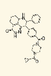 O=C(c1ccc(C2c3n[nH]c(=O)c4c3C(CCC4)NC2c2ccccc2)cc1)N1CCN(C(=O)C2CC2)CC1